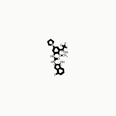 COc1c(NC(=O)N[C@@H]2Cc3c(F)cccc3[C@@H]2O)cc(N2CCCC2)cc1[C@H](O)C(F)(F)F